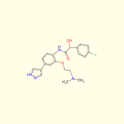 CN(C)CCOc1cc(-c2cn[nH]c2)ccc1NC(=O)C(O)c1ccc(F)cc1